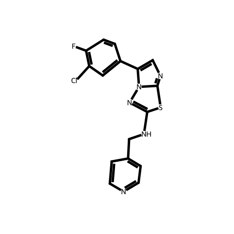 Fc1ccc(-c2cnc3sc(NCc4ccncc4)nn23)cc1Cl